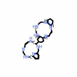 C1=C\NCC(C2CC[C@H]3/N=C/C=C\N[C@@H]4CCCC[C@H]4NCCNCCN[C@@H]3C2)NCc2cccc(n2)CNCC/N=C/1